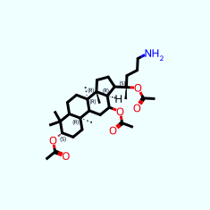 CC(=O)OC1CC2[C@@]3(C)CC[C@H](OC(C)=O)C(C)(C)C3CC[C@@]2(C)[C@]2(C)CCC([C@](C)(CCCN)OC(C)=O)[C@@H]12